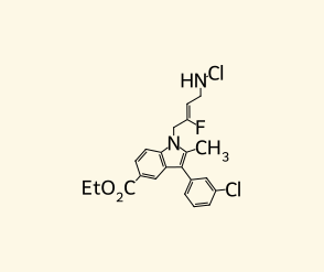 CCOC(=O)c1ccc2c(c1)c(-c1cccc(Cl)c1)c(C)n2C/C(F)=C/CNCl